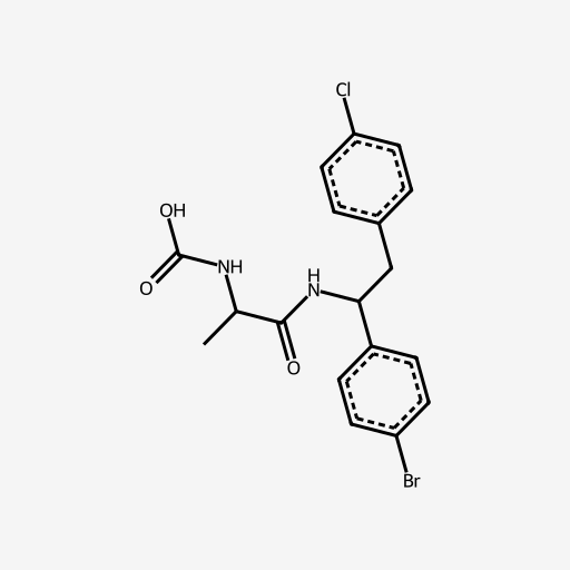 CC(NC(=O)O)C(=O)NC(Cc1ccc(Cl)cc1)c1ccc(Br)cc1